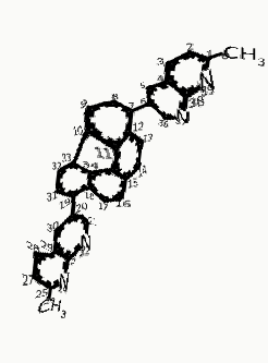 Cc1ccc2cc(-c3ccc4c5c3ccc3ccc6c(-c7cnc8nc(C)ccc8c7)ccc-4c6c35)cnc2n1